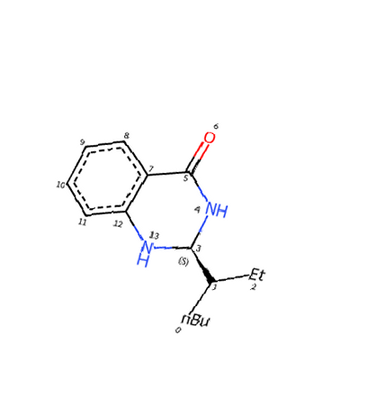 CCCCC(CC)[C@@H]1NC(=O)c2ccccc2N1